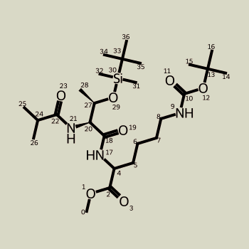 COC(=O)C(CCCCNC(=O)OC(C)(C)C)NC(=O)[C@@H](NC(=O)C(C)C)[C@@H](C)O[Si](C)(C)C(C)(C)C